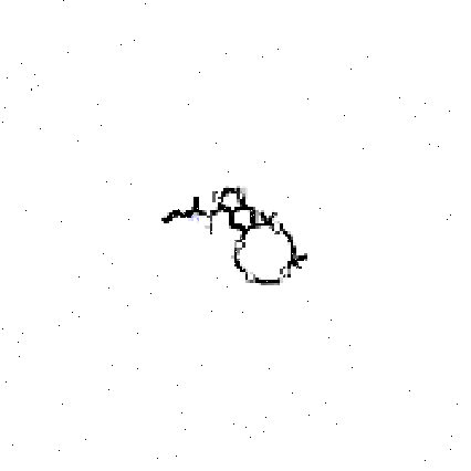 C=C/C=C(\C)Nc1ncnc2cc3c(cc12)OCCOCCOC(C)(C)CCOC3(C)C